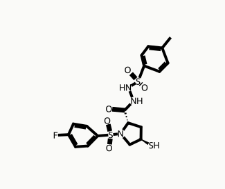 Cc1ccc(S(=O)(=O)NNC(=O)[C@@H]2C[C@@H](S)CN2S(=O)(=O)c2ccc(F)cc2)cc1